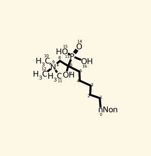 CCCCCCCCCCCCCCC(O)(C[N+](C)(C)C)P(=O)(O)O